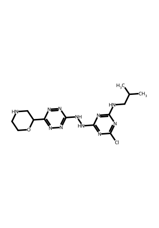 CC(C)CNc1nc(Cl)nc(NNc2nnc(C3CNCCO3)nn2)n1